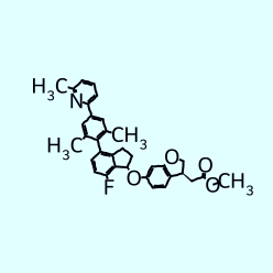 COC(=O)C[C@@H]1COc2cc(O[C@@H]3CCc4c(-c5c(C)cc(-c6cccc(C)n6)cc5C)ccc(F)c43)ccc21